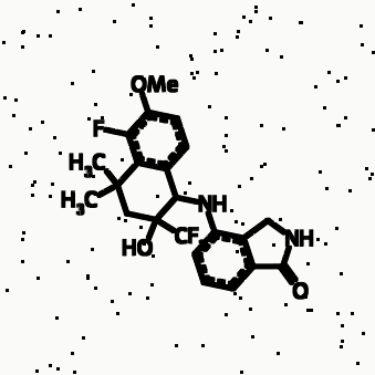 COc1ccc2c(c1F)C(C)(C)CC(O)(C(F)(F)F)C2Nc1cccc2c1CNC2=O